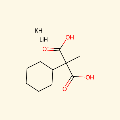 CC(C(=O)O)(C(=O)O)C1CCCCC1.[KH].[LiH]